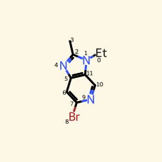 CCn1c(C)nc2cc(Br)ncc21